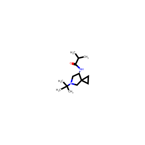 CC(C)C(=O)N[C@H]1CN(C(C)(C)C)CC12CC2